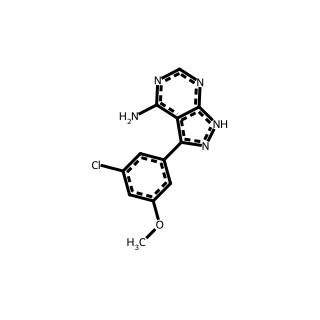 COc1cc(Cl)cc(-c2n[nH]c3ncnc(N)c23)c1